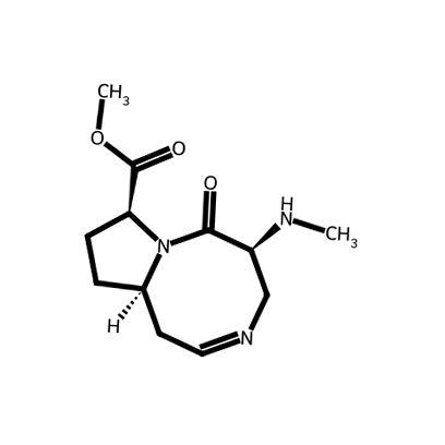 CN[C@H]1C/N=C\C[C@H]2CC[C@@H](C(=O)OC)N2C1=O